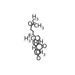 CC1(C)OC1CC[C@@H](F)[C@H]1CC[C@H]2[C@@H]3C4OC4C4=CC(=O)CC[C@]4(C)[C@H]3CC[C@]12C